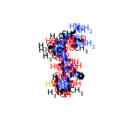 CC(C)C[C@H](NC(=O)[C@H](CO)NC(=O)[C@H](Cc1ccccc1)NC(=O)CNC(=O)[C@H](CO)NC(=O)[C@@H](NC(=O)[C@@H](NC(=O)[C@H](CS)NC(=O)[C@@H](N)CO)[C@@H](C)O)C(C)C)C(=O)N[C@@H](CO)C(=O)N[C@@H](CO)C(=O)NCC(=O)N[C@@H](C)C(=O)N[C@H](C(=O)N[C@@H](CO)C(=O)N[C@@H](Cc1c[nH]c2ccccc12)C(=O)N[C@H](C(=O)N[C@@H](CCCNC(=N)N)C(=O)N[C@@H](CCC(N)=O)C(=O)N[C@@H](C)C(=O)O)C(C)C)C(C)C